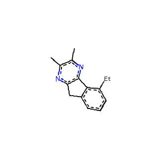 CCc1cccc2c1-c1nc(C)c(C)nc1C2